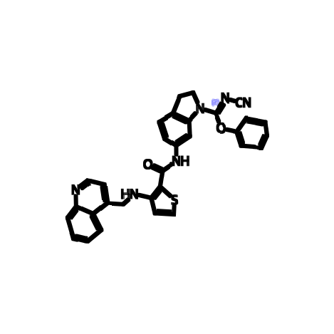 N#C/N=C(\Oc1ccccc1)N1CCc2ccc(NC(=O)c3sccc3NCc3ccnc4ccccc34)cc21